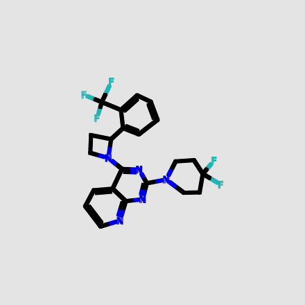 FC1(F)CCN(c2nc(N3CCC3c3ccccc3C(F)(F)F)c3cccnc3n2)CC1